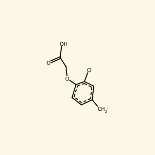 [CH2]c1ccc(OCC(=O)O)c(Cl)c1